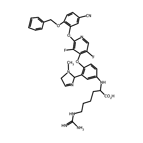 CN1CC=NC1c1cc(NC(CCCCNC(=N)N)C(=O)O)ccc1Oc1c(F)cnc(Oc2cc(C#N)ccc2OCc2ccccc2)c1F